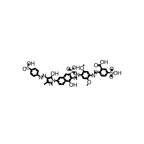 COc1cc(/N=N/c2c(S(=O)(=O)O)cc3cc(-n4nc(C)c(/N=N/c5ccc(S(=O)O)cc5)c4O)ccc3c2O)c(OC)cc1/N=N/c1ccc(S(=O)(=O)O)cc1C(=O)O